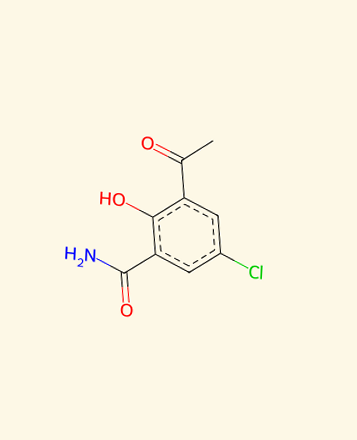 CC(=O)c1cc(Cl)cc(C(N)=O)c1O